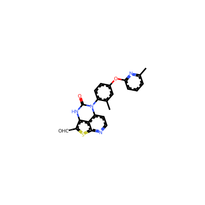 Cc1cccc(Oc2ccc(N3C(=O)Nc4c(C=O)sc5nccc3c45)c(C)c2)n1